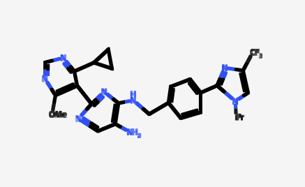 COc1ncnc(C2CC2)c1-c1ncc(N)c(NCc2ccc(-c3nc(C(F)(F)F)cn3C(C)C)cc2)n1